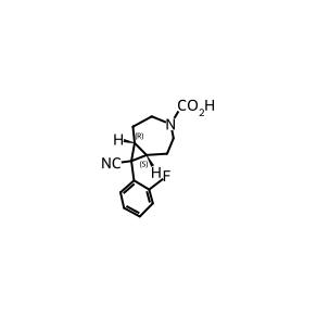 N#CC1(c2ccccc2F)[C@@H]2CCN(C(=O)O)CC[C@@H]21